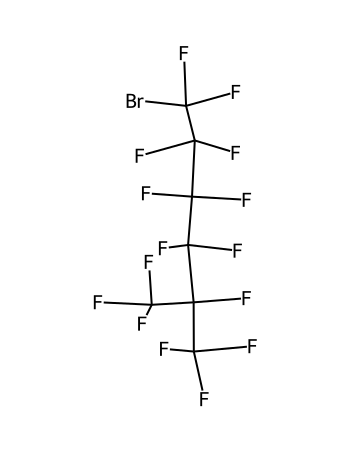 FC(F)(F)C(F)(C(F)(F)F)C(F)(F)C(F)(F)C(F)(F)C(F)(F)Br